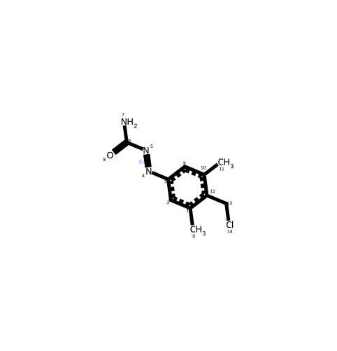 Cc1cc(/N=N/C(N)=O)cc(C)c1CCl